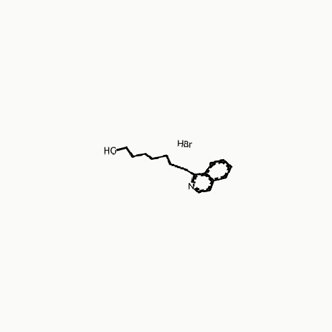 Br.OCCCCCCCc1nccc2ccccc12